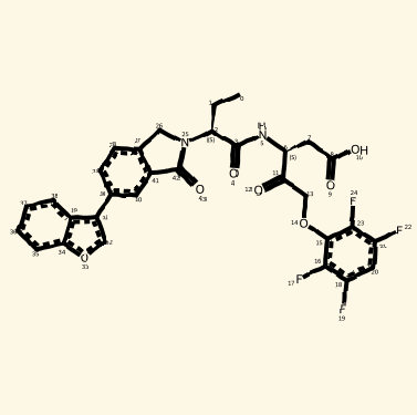 CC[C@@H](C(=O)N[C@@H](CC(=O)O)C(=O)COc1c(F)c(F)cc(F)c1F)N1Cc2ccc(-c3coc4ccccc34)cc2C1=O